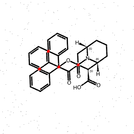 O=C(O)[C@@H]1[C@H]2CCC[C@@H](CN1C(=O)C(c1ccccc1)c1ccccc1)N2C(=O)OCc1ccccc1